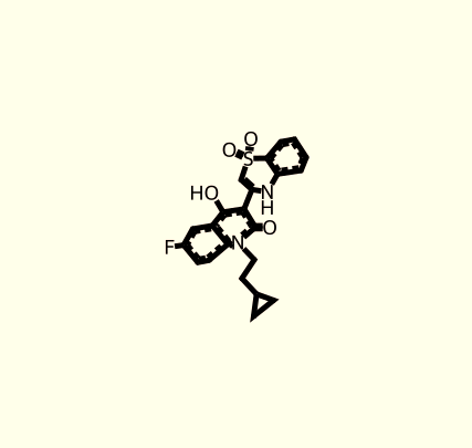 O=c1c(C2=CS(=O)(=O)c3ccccc3N2)c(O)c2cc(F)ccc2n1CCC1CC1